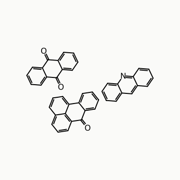 O=C1c2ccccc2-c2cccc3cccc1c23.O=C1c2ccccc2C(=O)c2ccccc21.c1ccc2nc3ccccc3cc2c1